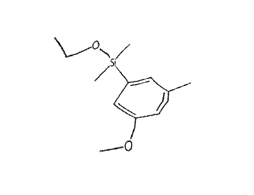 CCO[Si](C)(C)c1cc(C)cc(OC)c1